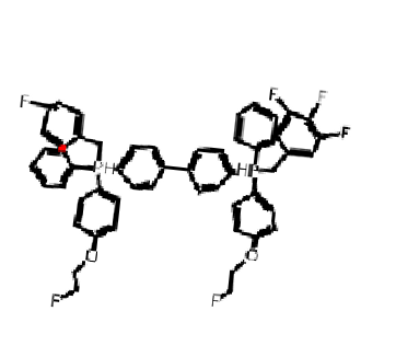 FCCOc1ccc([PH](Cc2ccc(F)cc2)(c2ccccc2)c2ccc(-c3ccc([PH](Cc4cc(F)c(F)c(F)c4)(c4ccccc4)c4ccc(OCCF)cc4)cc3)cc2)cc1